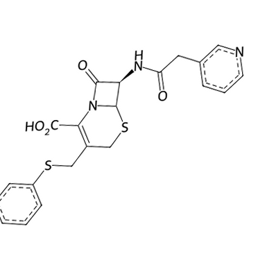 O=C(Cc1cccnc1)N[C@@H]1C(=O)N2C(C(=O)O)=C(CSc3ccccc3)CSC12